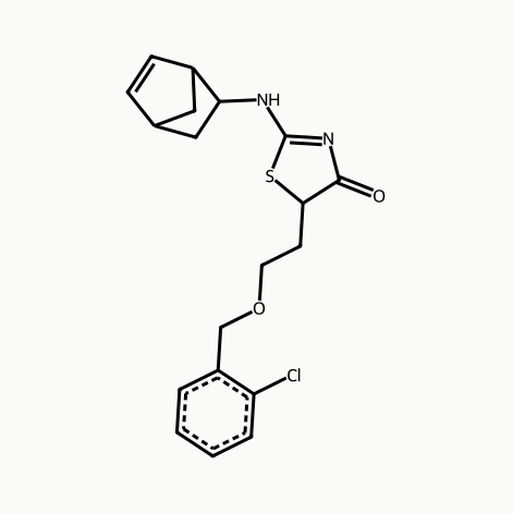 O=C1N=C(NC2CC3C=CC2C3)SC1CCOCc1ccccc1Cl